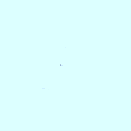 CN(C)C(=O)N/C(=C\C(=O)O)C(F)(F)F